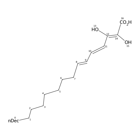 CCCCCCCCCCCCCCCCC/C=C/C=C/C(O)=C(\O)C(=O)O